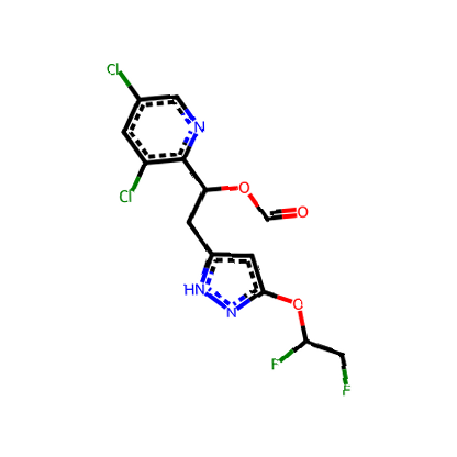 O=COC(Cc1cc(OC(F)CF)n[nH]1)c1ncc(Cl)cc1Cl